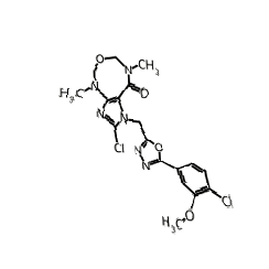 COc1cc(-c2nnc(Cn3c(Cl)nc4c3C(=O)N(C)COCN4C)o2)ccc1Cl